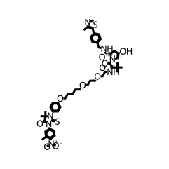 Cc1cc(N2C(=O)C(C)(C)N(c3ccc(OCCCCCOCCCOCC(=O)N[C@H](C(=O)N4C[C@H](O)C[C@H]4C(=O)NCc4ccc(-c5scnc5C)cc4)C(C)(C)C)cc3)C2=S)ccc1[N+](=O)[O-]